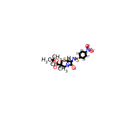 CC(C)(C)OC(=O)C1(C)CS[C@@H]2C(=NSc3ccc([N+](=O)[O-])cc3)C(=O)N2C1